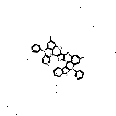 Cc1cc2c3c(c1)N(c1ccccc1)c1ccncc1B3c1oc3c(c1O2)Sc1cc(C)cc2c1B3c1c(sc3c1C=CCC3)N2c1ccccc1